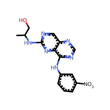 CC(CO)Nc1ncc2ncnc(Nc3cccc([N+](=O)[O-])c3)c2n1